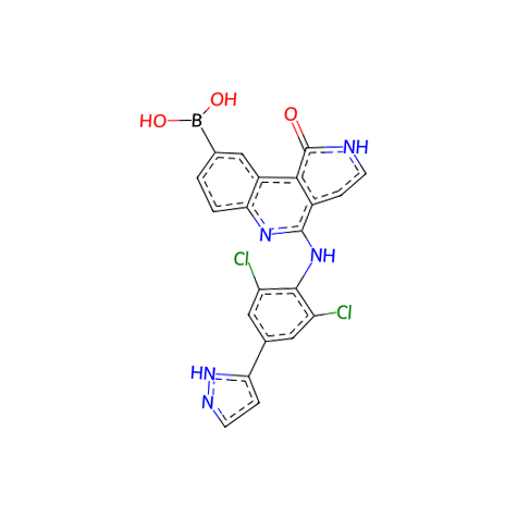 O=c1[nH]ccc2c(Nc3c(Cl)cc(-c4ccn[nH]4)cc3Cl)nc3ccc(B(O)O)cc3c12